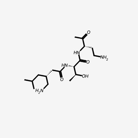 CC(=O)[C@H](CCN)NC(=O)[C@@H](NC(=O)C[C@H](CN)CC(C)C)[C@H](C)O